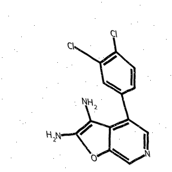 Nc1oc2cncc(-c3ccc(Cl)c(Cl)c3)c2c1N